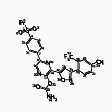 CC(C)S(=O)(=O)c1ccc(-c2cnc(OC(N)=O)c(-c3cc(-c4ccc(C#N)cc4C(F)(F)F)no3)n2)cc1